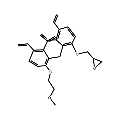 C=Cc1ccc(OCCOC)c(Cc2c(OCC3CO3)ccc(C=C)c2C=C)c1C=C